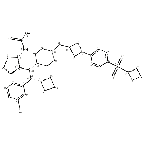 O=C(O)N[C@H]1CCC[C@@H]1[C@H](C1CCN(CC2CN(c3ccc(S(=O)(=O)C4CCC4)cc3)C2)CC1)[C@@H](c1cccc(F)c1)N1CCC1